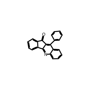 O=C1c2ccccc2-c2nc3ccccc3c(-c3ccccc3)c21